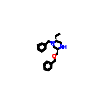 CC[C@@H]1CN[C@@H](COCc2ccccc2)CN1Cc1ccccc1